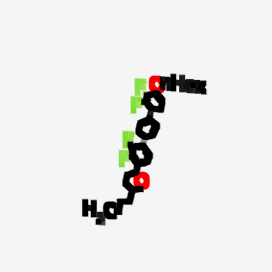 C=CCCC1CCC(c2ccc([C@H]3C=CC([C@@H]4CC=C(OCCCCCC)C(F)=C4F)=CC3)c(F)c2F)OC1